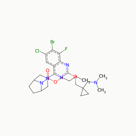 CCCCOC(=O)N1C2CCC1CN(c1nc(OCC3(CN(C)C)CC3)nc3c(F)c(Br)c(Cl)cc13)C2